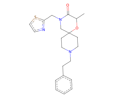 CC1OC2(CCN(CCc3ccccc3)CC2)CN(Cc2nccs2)C1=O